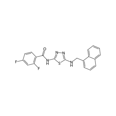 O=C(Nc1nnc(NCc2cccc3ccccc23)s1)c1ccc(F)cc1F